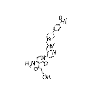 CN(C)C(=O)c1ccc(C2CCN(Cc3cc4c(-n5ccc(N)c(C(=O)CCCO)c5=O)ccnc4n3C)CC2)cc1